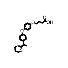 CC(=C1SCCCS1)c1ccc(Oc2ccc(OCCCC(=O)O)cc2)cc1